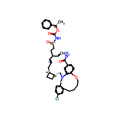 C=CC(/C=C/C[C@@H]1CC[C@H]1CN1Cc2ccc(Cl)cc2CCCCOc2ccc(C(N)=O)cc21)CC[S@@+]([O-])NC(=O)O[C@@H](C)c1ccccc1